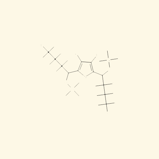 C[Si](C)(C)OC(c1[nH]c(C(O[Si](C)(C)C)C(F)(F)C(F)(F)C(F)(F)F)c(Br)c1Br)C(F)(F)C(F)(F)C(F)(F)F